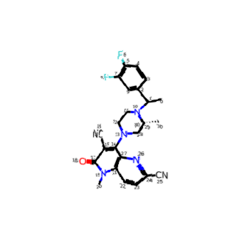 CC(c1ccc(F)c(F)c1)N1CCN(c2c(C#N)c(=O)n(C)c3ccc(C#N)nc23)C[C@H]1C